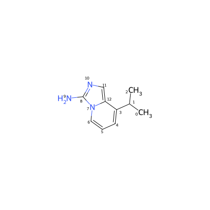 CC(C)c1cccn2c(N)ncc12